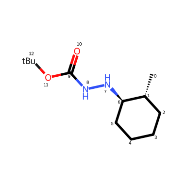 C[C@@H]1CCCC[C@H]1NNC(=O)OC(C)(C)C